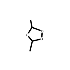 CC1OOC(C)O1